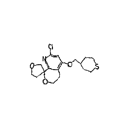 Clc1cc(OCC2CCSCC2)c2c(n1)C1(CCOC1)OCC2